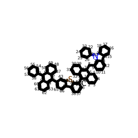 CC12C=CC=CC1C(Cc1cccc3c4ccccc4n(-c4ccccc4)c13)=c1ccccc1=C2c1cccc2c1sc1cc(-c3c4ccccc4c(-c4ccccc4)c4ccccc34)ccc12